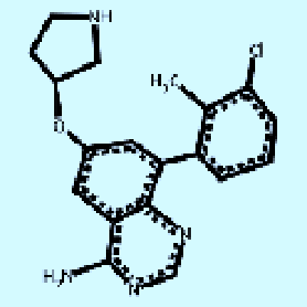 Cc1c(Cl)cccc1-c1cc(O[C@H]2CCNC2)cc2c(N)ncnc12